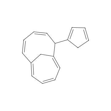 C1=CC=C2CC(=C1)C=CC=CC2C1=CC=CC1